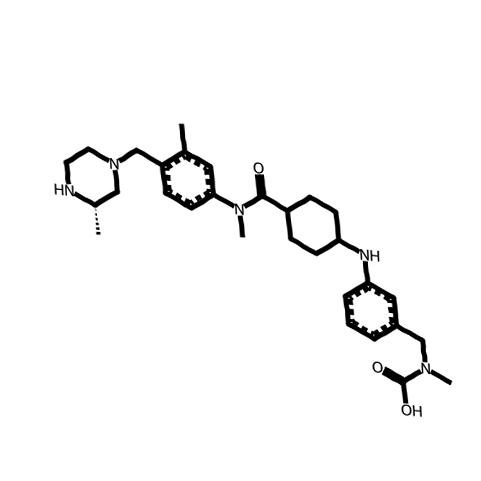 Cc1cc(N(C)C(=O)C2CCC(Nc3cccc(CN(C)C(=O)O)c3)CC2)ccc1CN1CCN[C@@H](C)C1